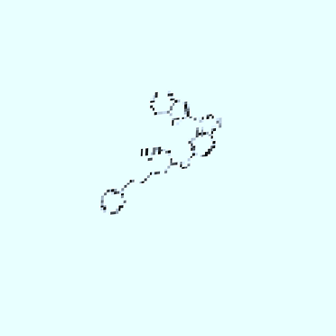 NCC(CCCCc1ccccc1)Oc1ccc2ncc(-c3cc4ccccc4o3)n2n1